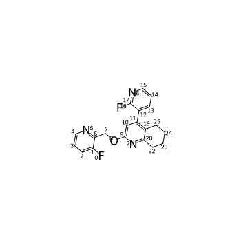 Fc1cccnc1COc1cc(-c2cccnc2F)c2c(n1)CCCC2